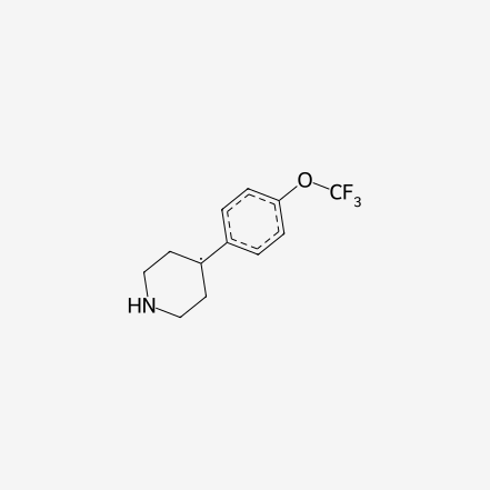 FC(F)(F)Oc1ccc([C]2CCNCC2)cc1